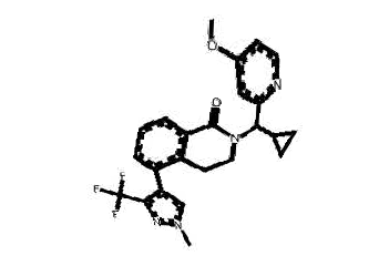 COc1ccnc(C(C2CC2)N2CCc3c(cccc3-c3cn(C)nc3C(F)(F)F)C2=O)c1